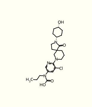 CCCN(C(=O)O)c1cnc(N2CCCC3(CCN([C@H]4CC[C@@H](O)CC4)C3=O)C2)c(Cl)c1